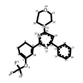 FC(F)(F)OC1=CC[CH]C(c2nc(-c3ccccc3)cc(N3CCOCC3)n2)=C1